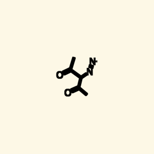 CC(=O)C(N=[N])C(C)=O